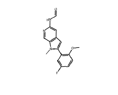 COc1ccc(F)cc1-c1cc2cc(NC=O)ncc2n1C